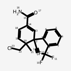 C#CC1(c2ccccc2C(F)(F)F)C=C(C(N)=O)C=CC1(C)CCl